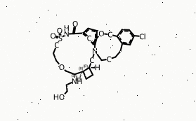 O=C1NS(=O)(=O)CCCOC[C@@H](NCCO)[C@@H]2CC[C@H]2CN2CCCCc3cc(Cl)ccc3COc3ccc1cc32